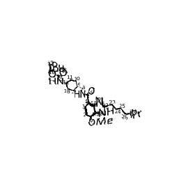 COc1ccc(C(=O)NC[C@H]2CC[C@@H](NC(=O)OC(C)(C)C)CC2)c2nc(CCCCC(C)C)[nH]c12